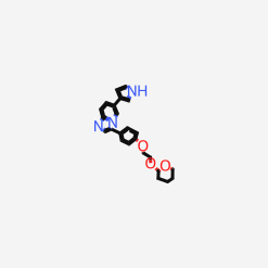 c1cc(-c2ccc3ncc(-c4ccc(OCCOC5CCCCO5)cc4)n3c2)c[nH]1